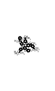 CC(C)(C)c1ccc(N2B3c4cc5c(cc4-n4c6ccc(C(C)(C)C)cc6c6c7oc8ccccc8c7c(c3c64)-c3cc4c(cc32)C(C)(C)c2ccc(C(C)(C)C)cc2-4)SC(C)(c2ccccc2)C5)cc1